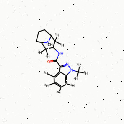 [2H]c1c([2H])c([2H])c2c(c(C(=O)NC3C([2H])([2H])C4CCCC(N4C)C3([2H])[2H])nn2C([2H])([2H])[2H])c1[2H]